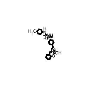 CC1CCC(NC(=O)NS(=O)(=O)c2ccc(CC[N+]3([O-])Cc4ccccc4OC3O)cc2)CC1